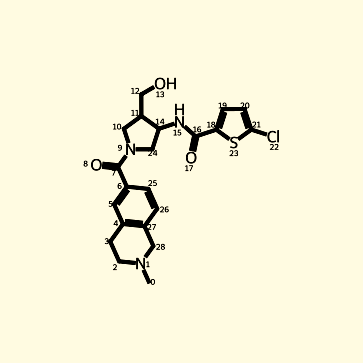 CN1CCc2cc(C(=O)N3CC(CO)C(NC(=O)c4ccc(Cl)s4)C3)ccc2C1